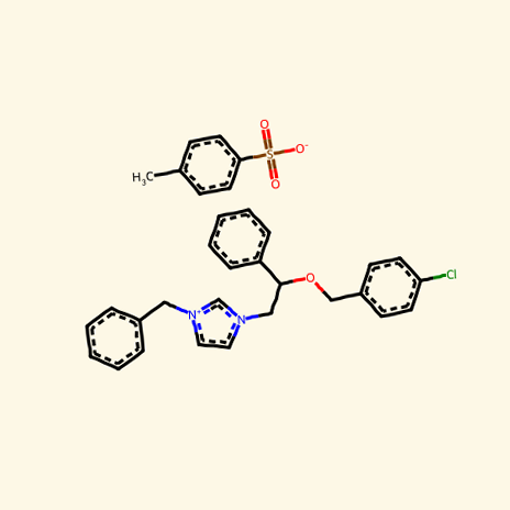 Cc1ccc(S(=O)(=O)[O-])cc1.Clc1ccc(COC(Cn2cc[n+](Cc3ccccc3)c2)c2ccccc2)cc1